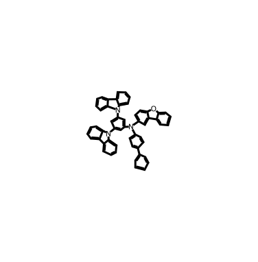 c1ccc(-c2ccc(N(c3cc(-n4c5ccccc5c5ccccc54)cc(-n4c5ccccc5c5ccccc54)c3)c3ccc4oc5ccccc5c4c3)cc2)cc1